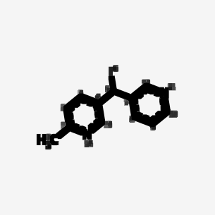 Cc1ccc(C(I)c2cccnc2)cn1